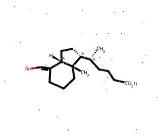 C[C@H](CCCC(=O)O)[C@H]1CC[C@H]2/C(=C/Br)CCCC12C